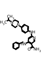 CC(C)N1CCN(c2ccc(Nc3cc(NCc4ccccc4)c(C(N)=O)cn3)cc2)CC1